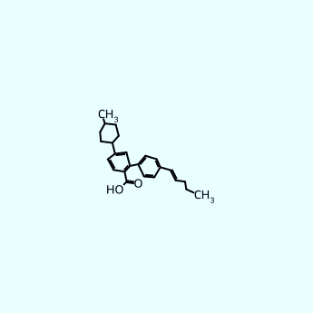 CCCC=Cc1ccc(-c2cc(C3CCC(C)CC3)ccc2C(=O)O)cc1